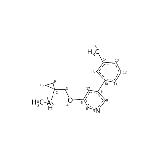 C[AsH]C1(COc2cncc(-c3cccc(C)c3)c2)CC1